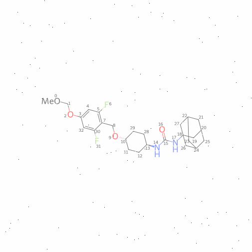 COCOc1cc(F)c(CO[C@H]2CC[C@H](NC(=O)NC34CC5CC(CC(C5)C3)C4)CC2)c(F)c1